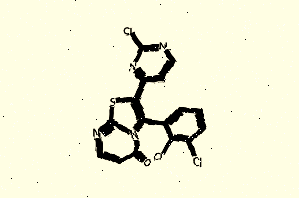 O=c1ccnc2sc(-c3ccnc(Cl)n3)c(-c3cccc(Cl)c3Cl)n12